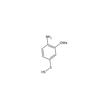 COc1cc(SS)ccc1N